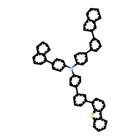 c1cc(-c2ccc(N(c3ccc(-c4cccc(-c5cccc6c5sc5ccccc56)c4)cc3)c3ccc(-c4cccc5ccccc45)cc3)cc2)cc(-c2ccc3ccccc3c2)c1